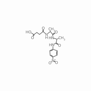 C[C@H](NC(=O)CCC(=O)O)C(=O)N[C@@H](C)C(=O)Nc1ccc([N+](=O)[O-])cc1